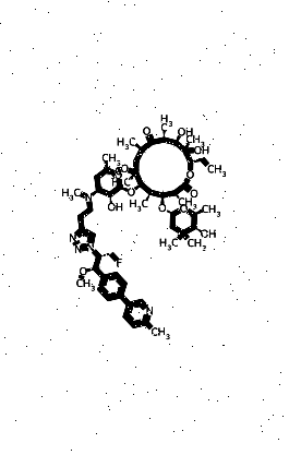 CC[C@H]1OC(=O)[C@H](C)[C@@H](O[C@H]2CC(C)(C)[C@@H](O)[C@H](C)O2)[C@H](C)[C@@H](O[C@@H]2O[C@H](C)C[C@H](N(C)CCc3cn([C@H](CF)[C@H](OC)c4ccc(-c5ccc(C)nc5)cc4)nn3)[C@H]2O)[C@](C)(OC)C[C@@H](C)C(=O)[C@H](C)[C@@H](O)[C@]1(C)O